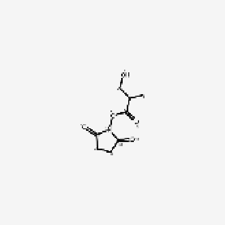 CC(CO)C(=O)ON1C(=O)CCC1=O